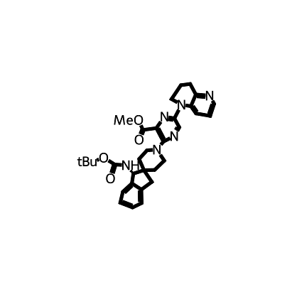 COC(=O)c1nc(N2CCCc3ncccc32)cnc1N1CCC2(CC1)Cc1ccccc1[C@H]2NC(=O)OC(C)(C)C